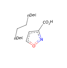 CCCCCCCCCCCCCCCCCCCCCC.O=C(O)c1ccon1